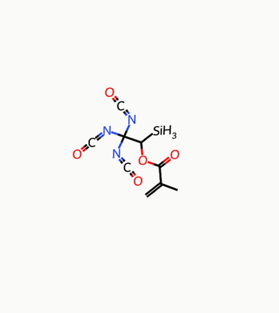 C=C(C)C(=O)OC([SiH3])C(N=C=O)(N=C=O)N=C=O